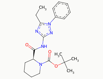 CCc1nc(NC(=O)[C@@H]2CCCCN2C(=O)OC(C)(C)C)nn1-c1ccccc1